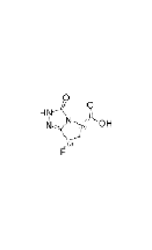 O=C(O)[C@@H]1C[C@H](F)c2n[nH]c(=O)n21